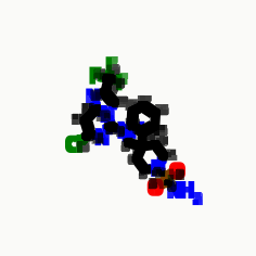 NS(=O)(=O)N1CCC(CNc2nc(Cl)cc3nc(C(F)(F)F)cn23)(c2ccccc2)CC1